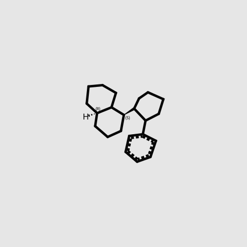 c1ccc(C2CCCCC2[C@H]2CCC[C@H]3CCCCC32)cc1